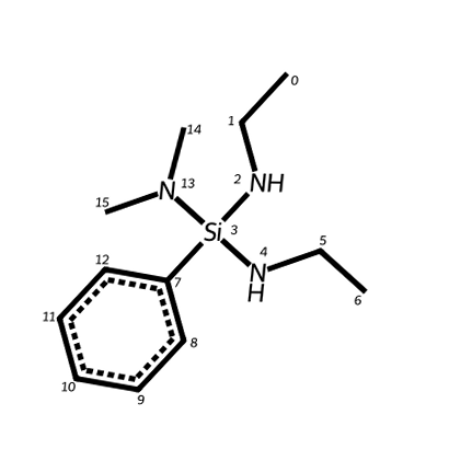 CCN[Si](NCC)(c1ccccc1)N(C)C